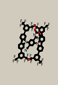 Cc1cc(C)nc(-c2cc(-n3c4cc(-c5cc(C(F)(F)F)cc(C(F)(F)F)c5)ccc4c4ccc(-c5cc(C(F)(F)F)cc(C(F)(F)F)c5)cc43)c(C#N)cc2-n2c3cc(-c4cc(C(F)(F)F)cc(C(F)(F)F)c4)ccc3c3ccc(-c4cc(C(F)(F)F)cc(C(F)(F)F)c4)cc32)n1